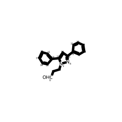 O=CCCn1nc(-c2ccccc2)cc1-c1ccccc1